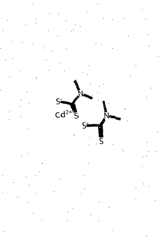 CN(C)C(=S)[S-].CN(C)C(=S)[S-].[Cd+2]